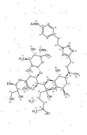 CC[C@@H](OC(=O)[C@H](C)[C@@H](O[C@H]1C[C@@](C)(OC)[C@@H](O)[C@H](C)O1)[C@H](C)[C@@H](O[C@@H]1O[C@H](C)C[C@H](N(C)CCc2cn(CCc3ccc(NC(C)=O)cc3)nn2)[C@H]1O)[C@](C)(O)C[C@@H](C)CN(C)CC)[C@@](C)(O)CO